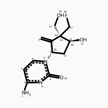 C=C1[C@@H](n2ccc(N)nc2=O)C[C@H](O)[C@]1(CO)CF